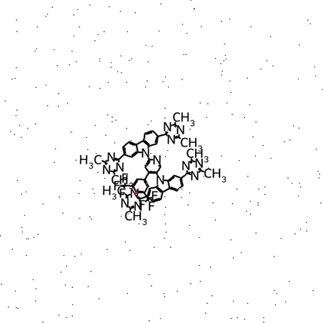 Cc1nc(C)nc(-c2ccc3c4ccc(-c5nc(C)nc(C)n5)cc4n(-c4cc(-c5cc(C(F)(F)F)cc(C(F)(F)F)c5)c(-n5c6cc(-c7nc(C)nc(C)n7)ccc6c6ccc(-c7nc(C)nc(C)n7)cc65)cn4)c3c2)n1